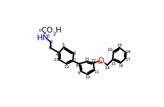 O=C(O)NCCc1ccc(-c2cccc(OCc3ccccc3)c2)cc1